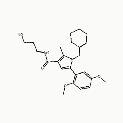 COc1ccc(OC)c(-c2cc(C(=O)NCCCO)c(C)n2CC2CCCCC2)c1